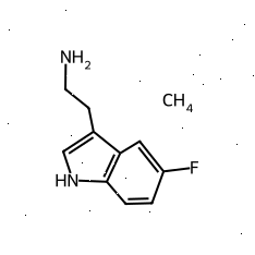 C.NCCc1c[nH]c2ccc(F)cc12